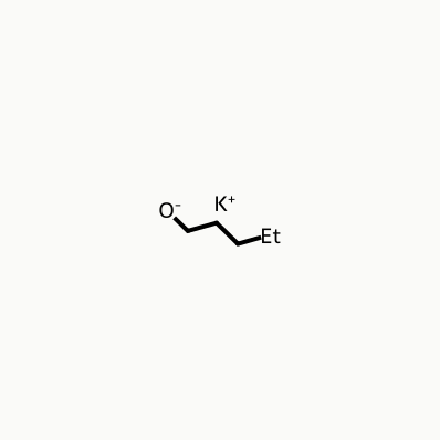 CCCCC[O-].[K+]